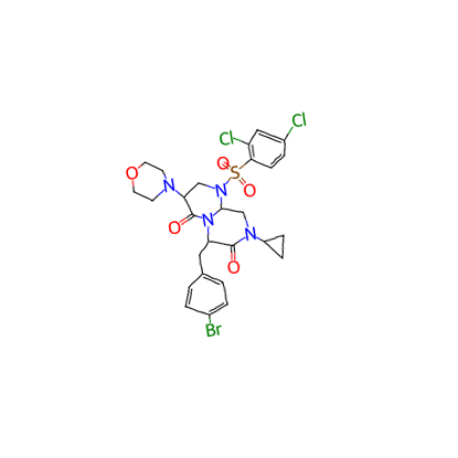 O=C1C(Cc2ccc(Br)cc2)N2C(=O)C(N3CCOCC3)CN(S(=O)(=O)c3ccc(Cl)cc3Cl)C2CN1C1CC1